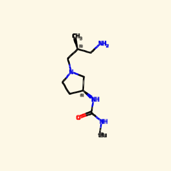 C[C@@H](CN)CN1CC[C@H](NC(=O)NC(C)(C)C)C1